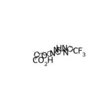 O=C(O)c1cccc(COC2CCN(c3ccc(-c4nc5cc(C(F)(F)F)ccc5[nH]4)cn3)CC2)c1